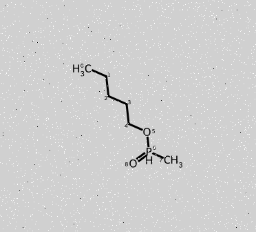 CCCCCO[PH](C)=O